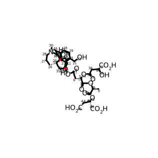 C[C@H](OC(=O)[C@H](CC(=O)OC1=CC[C@@]2(O)[C@H]3Cc4ccc(CO)c5c4[C@@]2(CCCN3C)[C@H]1O5)OC(=O)C[C@H](O)C(=O)O)C(=O)O[C@@H](CC(=O)O)C(=O)O